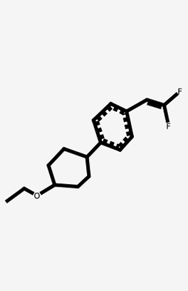 CCOC1CCC(c2ccc(C=C(F)F)cc2)CC1